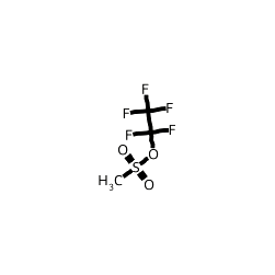 CS(=O)(=O)OC(F)(F)C(F)(F)F